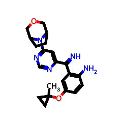 CC1(Oc2ccc(N)c(C(=N)c3cc(N4C5CCC4COC5)ncn3)c2)CC1